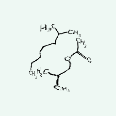 CC(=O)OCC(C)C.CCCCCC(C)C